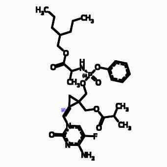 CCCC(CCC)COC(=O)C(C)N[P@](=O)(OCC1(COC(=O)C(C)C)C/C1=C/n1cc(F)c(N)nc1=O)Oc1ccccc1